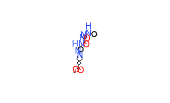 CCOC(=O)C1CC2(CCN(c3ccc(NC(=O)c4nnc(Nc5ccccc5)o4)cn3)CC2)C1